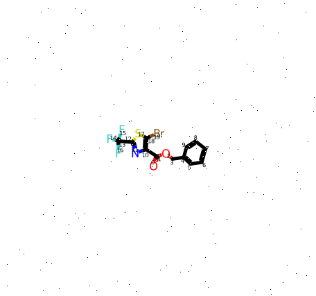 O=C(OCc1ccccc1)c1nc(C(F)(F)F)sc1Br